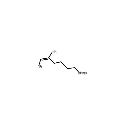 CCCC=C(CCCC)CCCCCCCCCCC